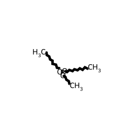 CCCCCCCCCCOP(OCCCCC)OCCCCCCCCCC